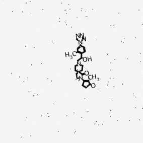 CC1=C(N2CCC3(CCN(CC(O)c4ccc(-n5cnnn5)cc4C)CC3)C2=O)CCC1=O